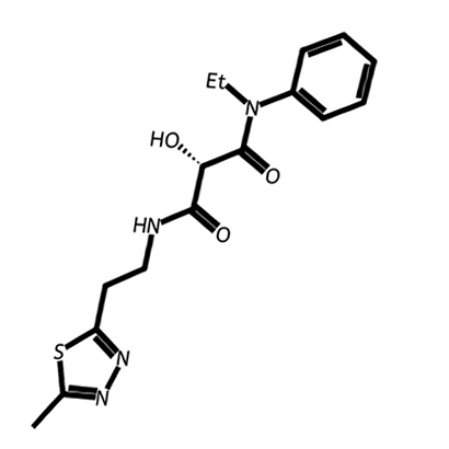 CCN(C(=O)[C@@H](O)C(=O)NCCc1nnc(C)s1)c1ccccc1